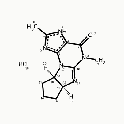 Cc1nc2c([nH]1)C(=O)N(C)C1=N[C@H]3CCC[C@H]3N12.Cl